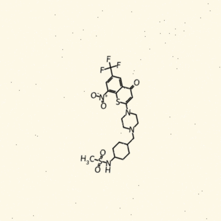 CS(=O)(=O)NC1CCC(CN2CCN(c3cc(=O)c4cc(C(F)(F)F)cc([N+](=O)[O-])c4s3)CC2)CC1